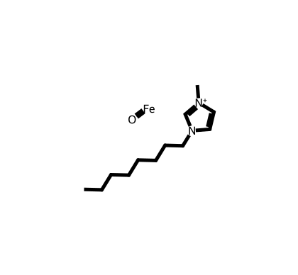 CCCCCCCCn1cc[n+](C)c1.[O]=[Fe]